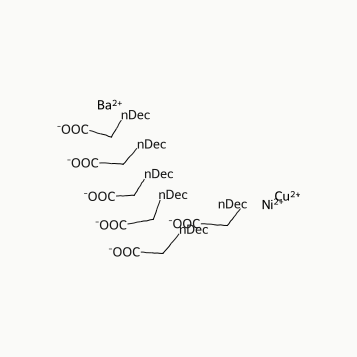 CCCCCCCCCCCC(=O)[O-].CCCCCCCCCCCC(=O)[O-].CCCCCCCCCCCC(=O)[O-].CCCCCCCCCCCC(=O)[O-].CCCCCCCCCCCC(=O)[O-].CCCCCCCCCCCC(=O)[O-].[Ba+2].[Cu+2].[Ni+2]